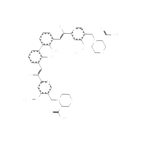 COc1cc(/C(F)=C/c2cccc(-c3cccc(/C=C(\F)c4cc(OC)c(CN5CCOC[C@H]5C(=O)O)cn4)c3C)c2C)ncc1CN1CCOC[C@H]1C(=O)O